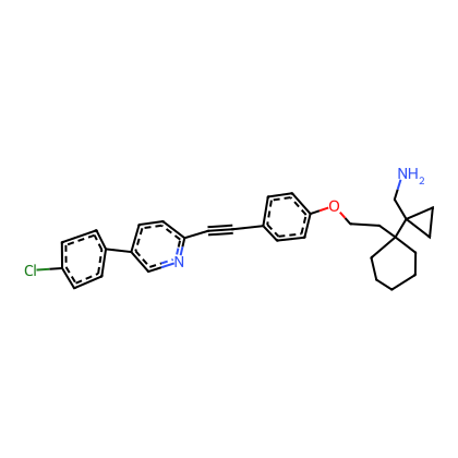 NCC1(C2(CCOc3ccc(C#Cc4ccc(-c5ccc(Cl)cc5)cn4)cc3)CCCCC2)CC1